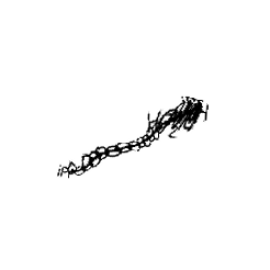 CC(C)SC(CC(=O)O)C(=O)NCCC(=O)NCCOCCOCCOCCOCCOCCOCCOCCOCCOCCOCCOCCOCCC(=O)C(C)C